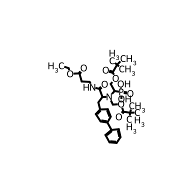 CCOC(=O)CCNC(=O)C(Cc1ccc(-c2ccccc2)cc1)N(COC(=O)C(C)(C)C)C(COC(=O)C(C)(C)C)P(=O)(O)O